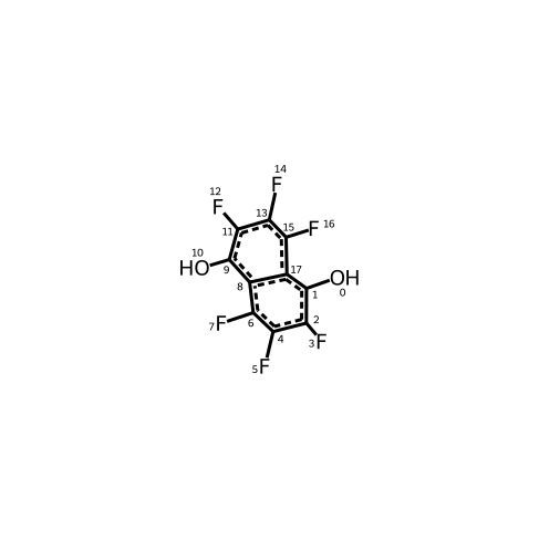 Oc1c(F)c(F)c(F)c2c(O)c(F)c(F)c(F)c12